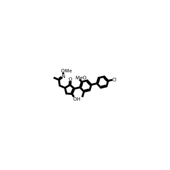 CON=C(C)CC1CC(O)=C(c2c(C)cc(-c3ccc(Cl)cc3)cc2OC)C1=O